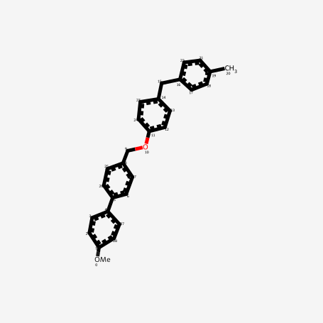 COc1ccc(-c2ccc(COc3ccc(Cc4ccc(C)cc4)cc3)cc2)cc1